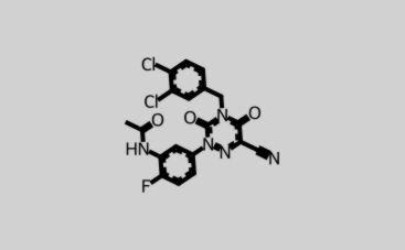 CC(=O)Nc1cc(-n2nc(C#N)c(=O)n(Cc3ccc(Cl)c(Cl)c3)c2=O)ccc1F